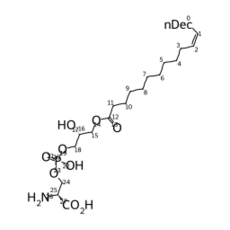 CCCCCCCCCC/C=C\CCCCCCCCCC(=O)OC[C@@H](O)COP(=O)(O)OC[C@H](N)C(=O)O